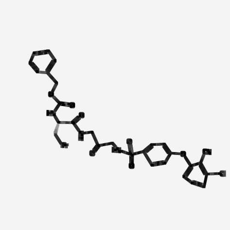 CC(C)C[C@H](NC(=O)OCc1ccccc1)C(=O)NCC(=O)CNS(=O)(=O)c1ccc(Oc2cccc(Cl)c2C#N)cc1